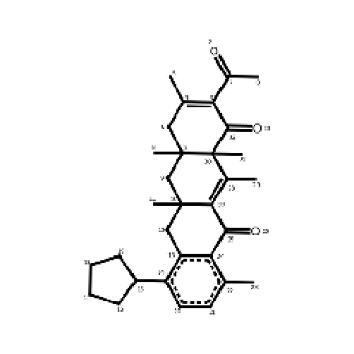 CC(=O)C1=C(C)CC2(C)CC3(C)Cc4c(C5CCCC5)ccc(C)c4C(=O)C3=C(C)C2(C)C1=O